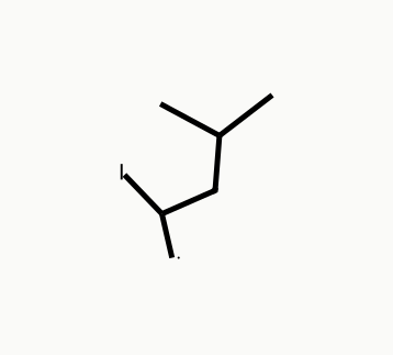 [CH2]C(I)CC(C)C